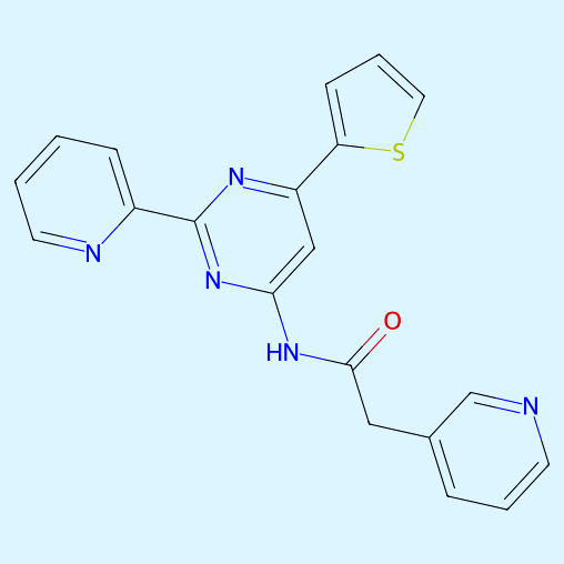 O=C(Cc1cccnc1)Nc1cc(-c2cccs2)nc(-c2ccccn2)n1